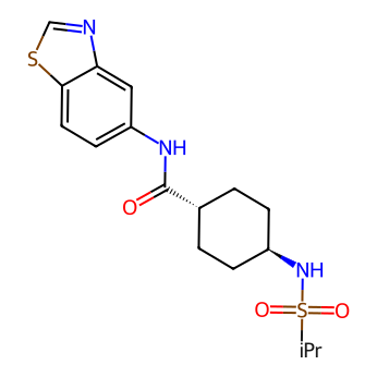 CC(C)S(=O)(=O)N[C@H]1CC[C@H](C(=O)Nc2ccc3scnc3c2)CC1